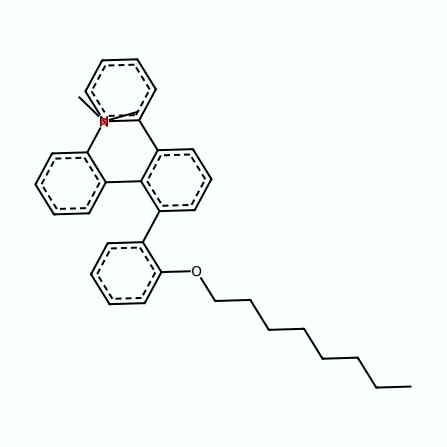 CCCCCCCCOc1ccccc1-c1cccc(-c2ccccn2)c1-c1ccccc1N(C)C